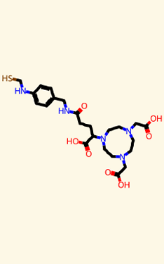 O=C(O)CN1CCN(CC(=O)O)CCN(C(CCC(=O)NCc2ccc(NCS)cc2)C(=O)O)CC1